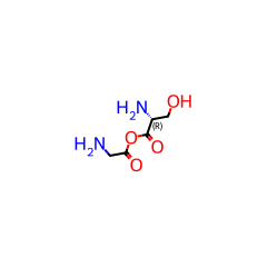 NCC(=O)OC(=O)[C@H](N)CO